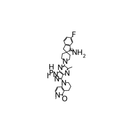 Cc1nc2c(N3CCCc4c3ccn(C)c4=O)nn(PI)c2nc1N1CCC2(CC1)Cc1ccc(F)cc1[C@H]2N